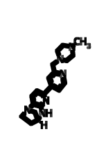 CN1CCN(Cc2cc(-c3ccc4c(n3)N[C@H]3CCN4C3)ccn2)CC1